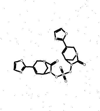 O=C1N2CC(c3ncco3)=CC(C2)N1OS(=O)(=O)ON1C(=O)N2CC(c3ncco3)=CC1C2